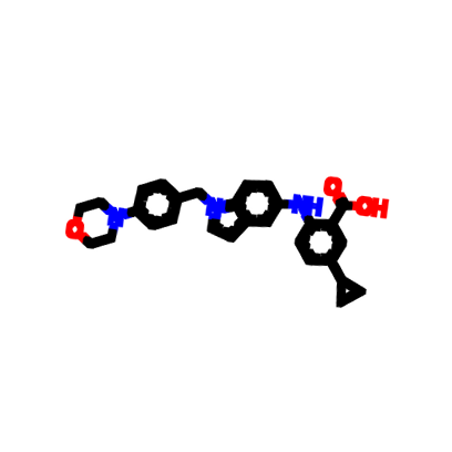 O=C(O)c1cc(C2CC2)ccc1Nc1ccc2c(ccn2Cc2ccc(N3CCOCC3)cc2)c1